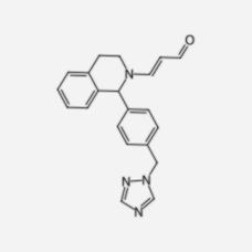 O=CC=CN1CCc2ccccc2C1c1ccc(Cn2cncn2)cc1